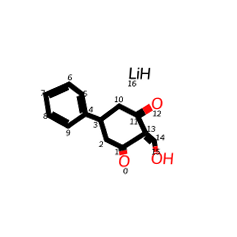 O=C1CC(c2ccccc2)CC(=O)C1=CO.[LiH]